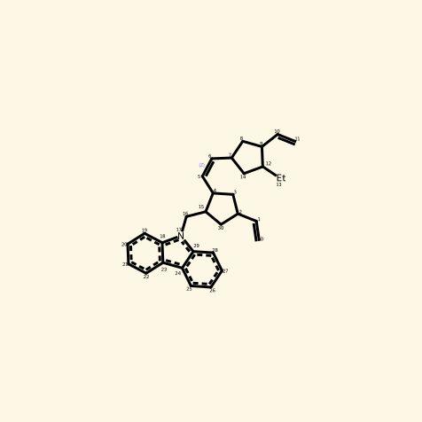 C=CC1CC(/C=C\C2CC(C=C)C(CC)C2)C(Cn2c3ccccc3c3ccccc32)C1